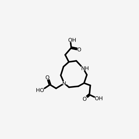 O=C(O)CC1CCN(CC(=O)O)CCC(CC(=O)O)CNC1